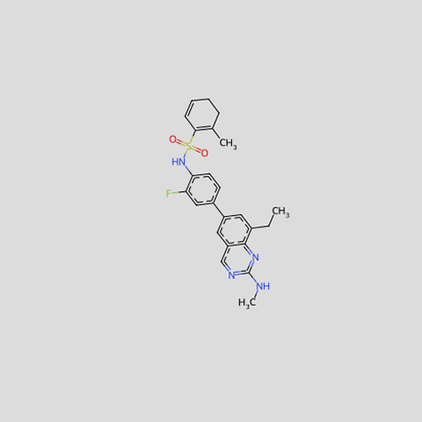 CCc1cc(-c2ccc(NS(=O)(=O)C3=C(C)CCC=C3)c(F)c2)cc2cnc(NC)nc12